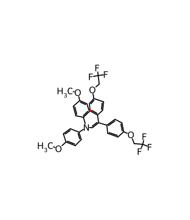 COc1ccc(N(C=C(c2ccc(OCC(F)(F)F)cc2)c2ccc(OCC(F)(F)F)cc2)c2ccc(OC)cc2)cc1